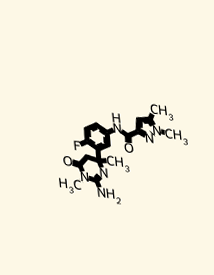 Cc1cc(C(=O)Nc2ccc(F)c(C3(C)CC(=O)N(C)C(N)=N3)c2)nn1C